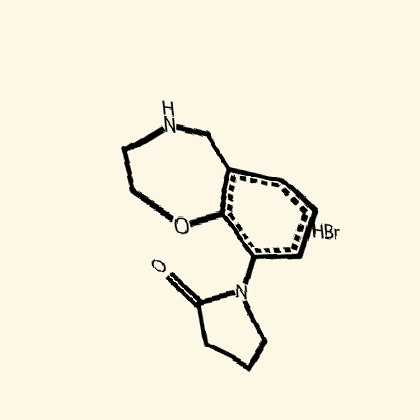 Br.O=C1CCCN1c1cccc2c1OCCNC2